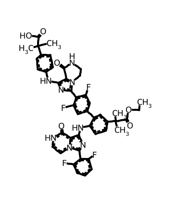 CCOC(=O)C(C)(C)c1ccc(Nc2nc(-c3c(F)cccc3F)n3cc[nH]c(=O)c23)c(-c2cc(F)c(-c3nc(Nc4ccc(C(C)(C)C(=O)O)cc4)c4n3CCNC4=O)c(F)c2)c1